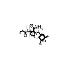 CCC(=O)Nc1ncn(Cc2cc(C)cc(C)c2)c1C(N)=O